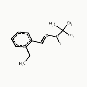 CCc1ccccc1C=N[S+]([O-])C(C)(C)C